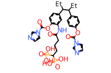 CCC(c1ccc(OC(=O)n2ccnc2)cc1)C(CC)c1ccc(OC(=O)n2ccnc2)c(NC(=O)CCCC(P(=O)(O)O)P(=O)(O)O)c1